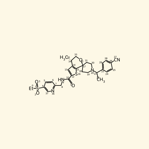 CCS(=O)(=O)c1ccc(CNC(=O)c2cc3c(s2)C2(CCN(C(C)c4ccc(C#N)cc4)CC2)OC[C@H]3C)nc1